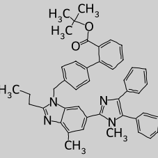 CCCc1nc2c(C)cc(-c3nc(-c4ccccc4)c(-c4ccccc4)n3C)cc2n1Cc1ccc(-c2ccccc2C(=O)OC(C)(C)C)cc1